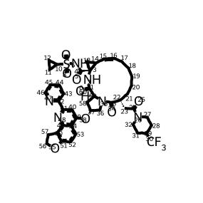 O=C1N[C@]2(C(=O)NS(=O)(=O)C3CC3)CC2/C=C\CCCCC[C@H](CC(=O)N2CCC(C(F)(F)F)CC2)C(=O)N2C[C@H](Oc3cc(-c4ccccn4)nc4c5c(ccc34)OCC5)C[C@@H]12